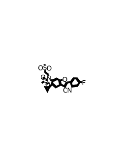 CS(=O)(=O)CCN(c1cc2oc(-c3ccc(F)cc3)c(C#N)c2cc1C1CC1)S(C)(=O)=O